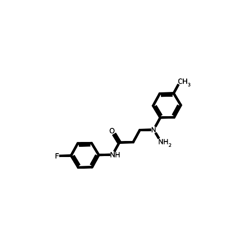 Cc1ccc(N(N)CCC(=O)Nc2ccc(F)cc2)cc1